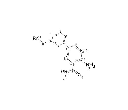 CNC(=O)c1nc(-c2cccc(CBr)c2)cnc1N